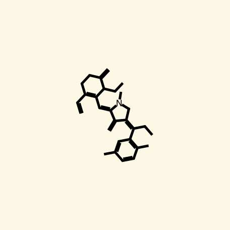 C=CC1=C(/C=C2/C(=C)/C(=C(/CC)c3cc(C)ccc3C)CN2C)C(CC)C(=C)CC1